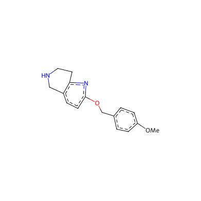 COc1ccc(COc2ccc3c(n2)CCNC3)cc1